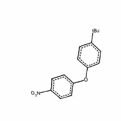 CC(C)(C)c1ccc(Oc2ccc([N+](=O)[O-])cc2)cc1